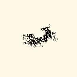 CC(C)(C)OC(=O)N(CCCN(C(=O)OC(C)(C)C)c1ccc(-n2ccc3cc(N(C(C(=O)O)C(C)(C)C)S(=O)(=O)c4cc(Cl)cc(Cl)c4)ccc32)nn1)C(=O)OC(C)(C)C